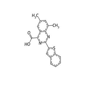 Cc1cc(C)c2nc(-c3cc4ccccc4s3)nc(C(=O)O)c2c1